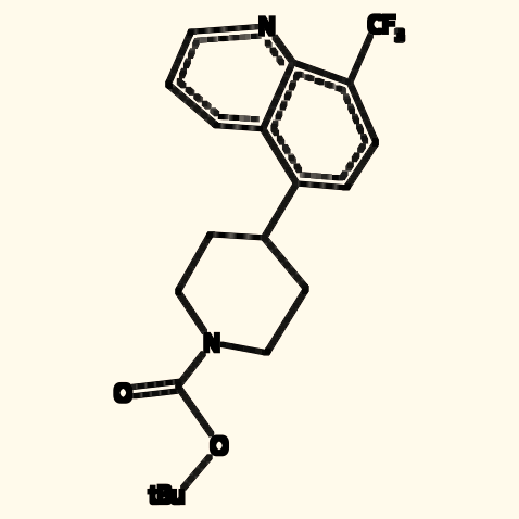 CC(C)(C)OC(=O)N1CCC(c2ccc(C(F)(F)F)c3ncccc23)CC1